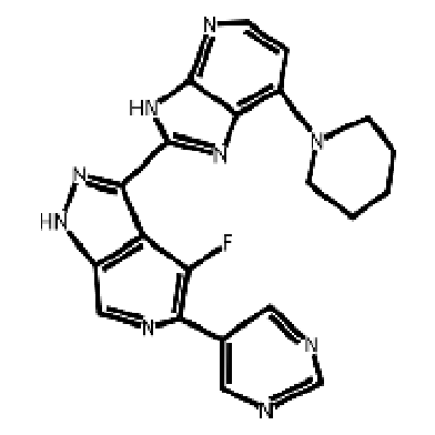 Fc1c(-c2cncnc2)ncc2[nH]nc(-c3nc4c(N5CCCCC5)ccnc4[nH]3)c12